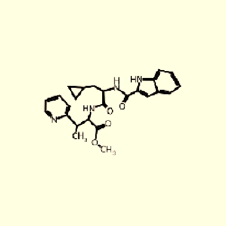 COC(=O)C(NC(=O)C(CC1CC1)NC(=O)c1cc2ccccc2[nH]1)C(C)c1ccccn1